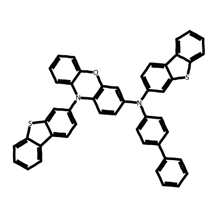 c1ccc(-c2ccc(N(c3ccc4c(c3)Oc3ccccc3N4c3ccc4c(c3)sc3ccccc34)c3ccc4c(c3)sc3ccccc34)cc2)cc1